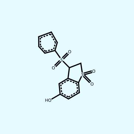 O=S1(=O)CC(S(=O)(=O)c2ccccc2)c2cc(O)ccc21